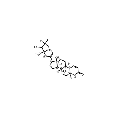 CC(C)(NC(=O)[C@@H]1CC[C@@H]2[C@H]3CC[C@H]4NC(=O)C=C[C@]4(C)[C@@H]3CC[C@]21C)C(O)C(F)(F)F